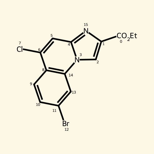 CCOC(=O)c1cn2c(cc(Cl)c3ccc(Br)cc32)n1